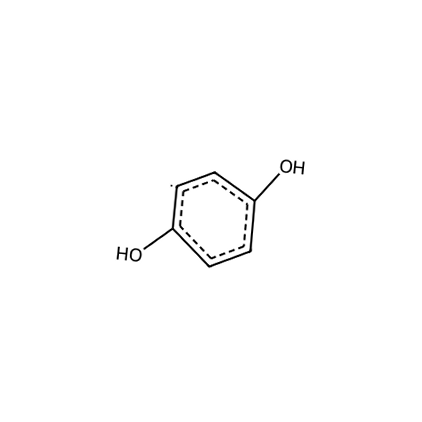 Oc1[c]cc(O)cc1